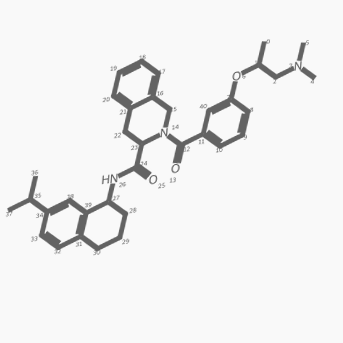 CC(CN(C)C)Oc1cccc(C(=O)N2Cc3ccccc3CC2C(=O)NC2CCCc3ccc(C(C)C)cc32)c1